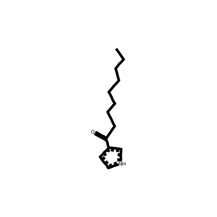 CCCCCCCCC(=O)c1cc[nH]c1